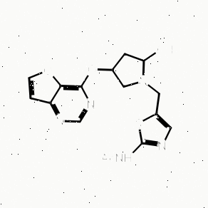 CC(=O)Nc1ncc(CN2CC(Oc3ncnc4ccoc34)CC2C)s1